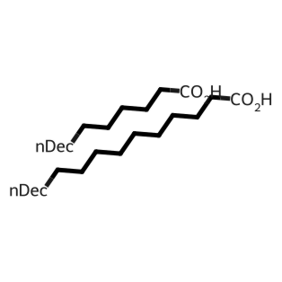 CCCCCCCCCCCCCCCC(=O)O.CCCCCCCCCCCCCCCCCCCC(=O)O